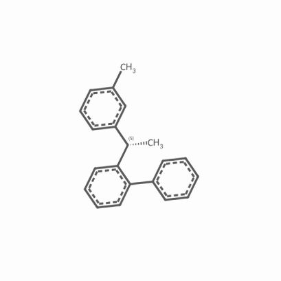 Cc1cccc([C@H](C)c2ccccc2-c2ccccc2)c1